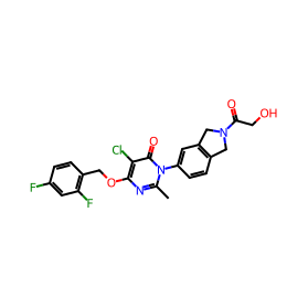 Cc1nc(OCc2ccc(F)cc2F)c(Cl)c(=O)n1-c1ccc2c(c1)CN(C(=O)CO)C2